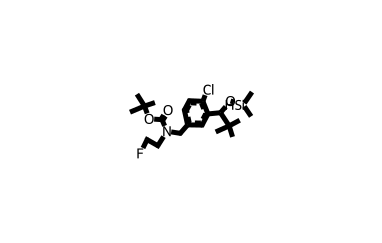 C[SiH](C)OC(c1cc(CN(CCF)C(=O)OC(C)(C)C)ccc1Cl)C(C)(C)C